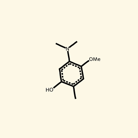 COc1cc(C)c(O)cc1N(C)C